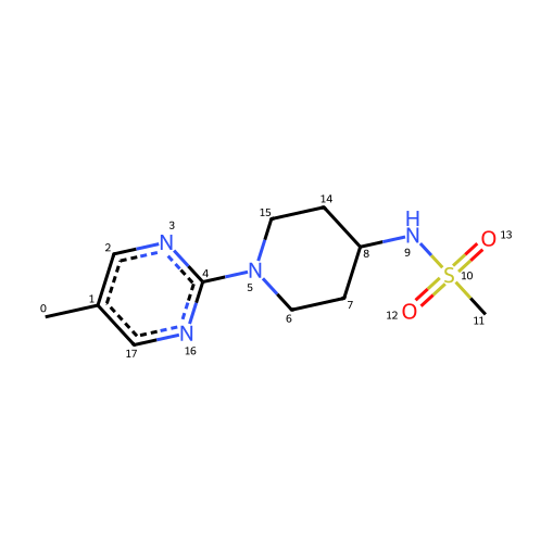 Cc1cnc(N2CCC(NS(C)(=O)=O)CC2)nc1